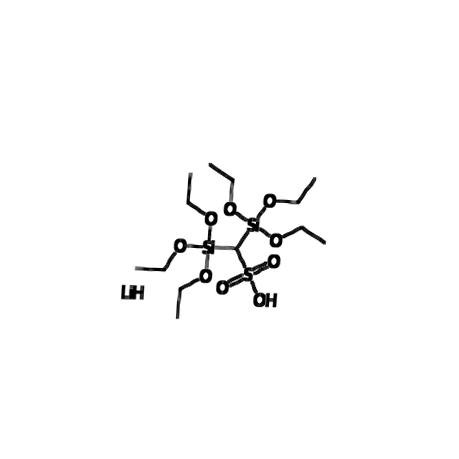 CCO[Si](OCC)(OCC)C([Si](OCC)(OCC)OCC)S(=O)(=O)O.[LiH]